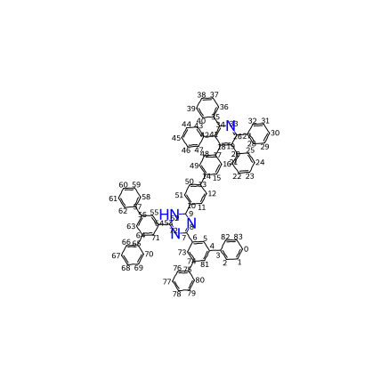 c1ccc(-c2cc(C3=NC(c4ccc(-c5ccc(-c6c(-c7ccccc7)c(-c7ccccc7)nc(-c7ccccc7)c6-c6ccccc6)cc5)cc4)NC(c4cc(-c5ccccc5)cc(-c5ccccc5)c4)=N3)cc(-c3ccccc3)c2)cc1